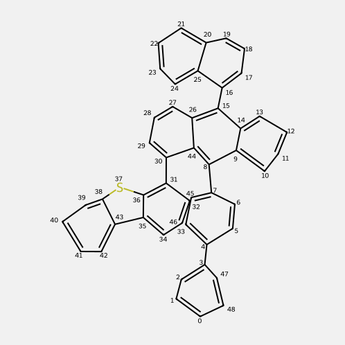 c1ccc(-c2ccc(-c3c4ccccc4c(-c4cccc5ccccc45)c4cccc(-c5cccc6c5sc5ccccc56)c34)cc2)cc1